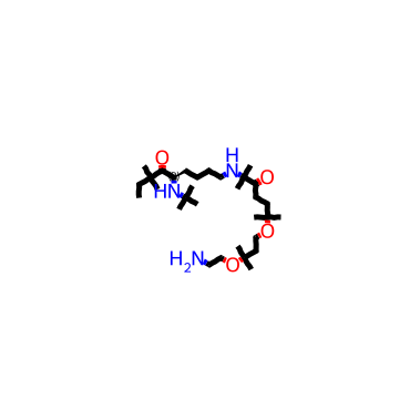 CCC(C)(C)C(=O)[C@@H](CCCCNC(C)(C)C(=O)CCC(C)(C)OCCC(C)(C)OCCN)NC(C)(C)C